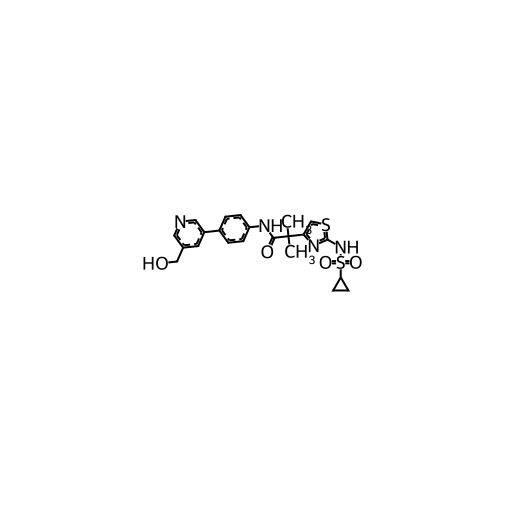 CC(C)(C(=O)Nc1ccc(-c2cncc(CO)c2)cc1)c1csc(NS(=O)(=O)C2CC2)n1